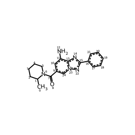 CC1CCCCN1C(=O)c1cc(N)c2nc(-c3ccccc3)nn2c1